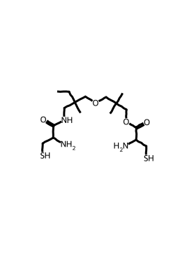 CCC(C)(CNC(=O)C(N)CS)COCC(C)(C)COC(=O)C(N)CS